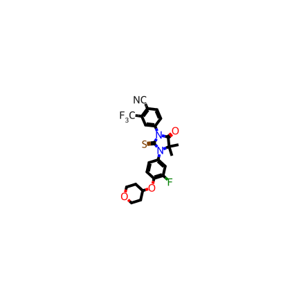 CC1(C)C(=O)N(c2ccc(C#N)c(C(F)(F)F)c2)C(=S)N1c1ccc(OC2CCOCC2)c(F)c1